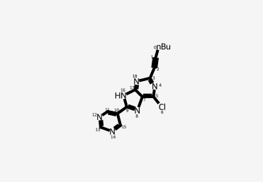 CCCCC#Cc1nc(Cl)c2nc(-c3cncnc3)[nH]c2n1